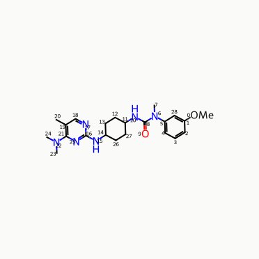 COc1cccc(N(C)C(=O)NC2CCC(Nc3ncc(C)c(N(C)C)n3)CC2)c1